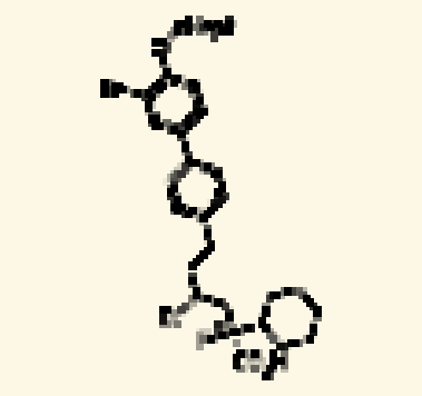 CCCCCCCOc1ccc(-c2ccc(CCC(CC)C[C@@](F)(C(=O)O)C3CCCCC3)cc2)cc1Br